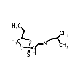 CCCSP(=S)(N/C=N/CC(C)C)OC